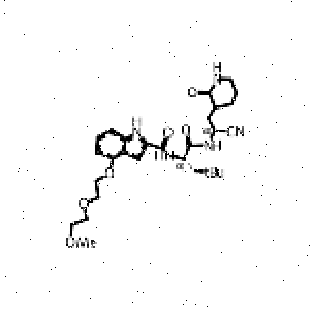 COCCOCCOc1cccc2[nH]c(C(=O)N[C@@H](CC(C)(C)C)C(=O)N[C@H](C#N)CC3CCCNC3=O)cc12